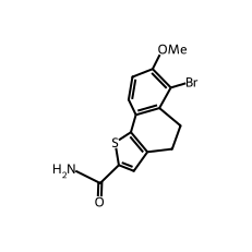 COc1ccc2c(c1Br)CCc1cc(C(N)=O)sc1-2